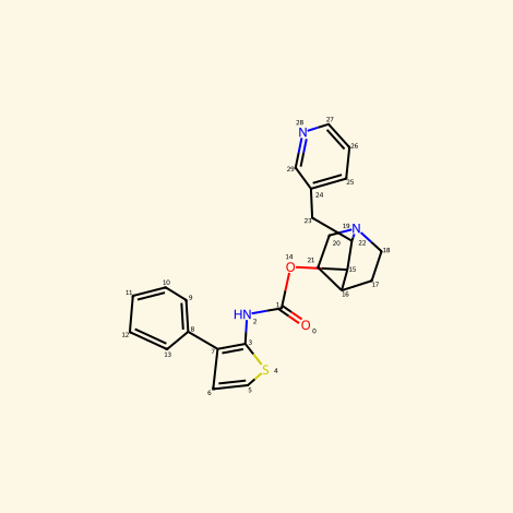 O=C(Nc1sccc1-c1ccccc1)OC1C2CCN(CC2)C1Cc1cccnc1